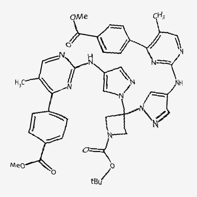 COC(=O)c1ccc(-c2nc(Nc3cnn(C4(n5cc(Nc6ncc(C)c(-c7ccc(C(=O)OC)cc7)n6)cn5)CN(C(=O)OC(C)(C)C)C4)c3)ncc2C)cc1